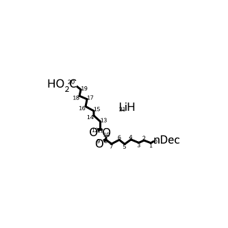 CCCCCCCCCCCCCCCCCC(=O)OC(=O)CCCCCCCC(=O)O.[LiH]